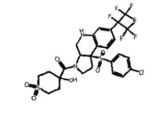 O=C(N1CCC2(S(=O)(=O)c3ccc(Cl)cc3)c3ccc(C(F)(C(F)(F)F)C(F)(F)F)cc3NCC12)C1(O)CCS(=O)(=O)CC1